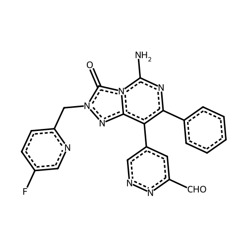 Nc1nc(-c2ccccc2)c(-c2cnnc(C=O)c2)c2nn(Cc3ccc(F)cn3)c(=O)n12